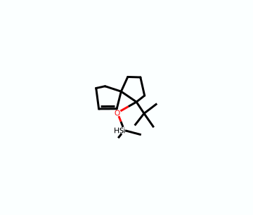 C[SiH](C)OC1(C(C)(C)C)CCCC12C=CCC2